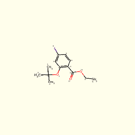 CC(C)(C)Oc1cc(I)ccc1C(=O)OC[SiH3]